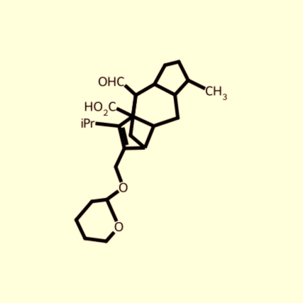 CC(C)C1=C(COC2CCCCO2)C2CC3(C=O)C4CCC(C)C4CC2C13C(=O)O